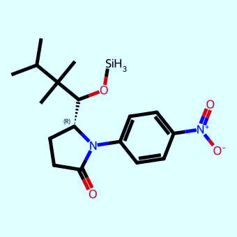 CC(C)C(C)(C)C(O[SiH3])[C@H]1CCC(=O)N1c1ccc([N+](=O)[O-])cc1